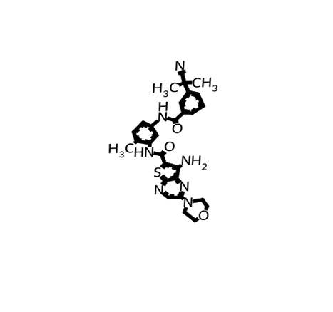 Cc1ccc(NC(=O)c2cccc(C(C)(C)C#N)c2)cc1NC(=O)c1sc2ncc(N3CCOCC3)nc2c1N